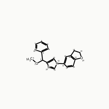 COC(c1ccccn1)c1cn(-c2ccc3c(c2)CCO3)cn1